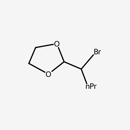 CCCC(Br)C1OCCO1